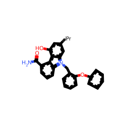 CC(C)c1cc(O)c2c3c(C(N)=O)cccc3n(Cc3ccccc3Oc3ccccc3)c2c1